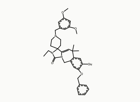 CCN1C(=O)N2Cc3cc(OCc4ccccc4)c(O)cc3C(C)(C)C=C2C12CCN(Cc1cc(OC)cc(OC)c1)CC2